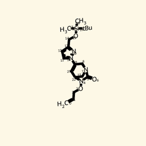 C=CCON1C(=O)N2CC(n3ccc(CO[Si](C)(C)C(C)(C)C)n3)=CC1C2